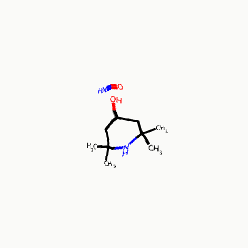 CC1(C)CC(O)CC(C)(C)N1.N=O